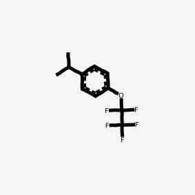 CC(C)c1ccc(OC(F)(F)C(F)(F)F)cc1